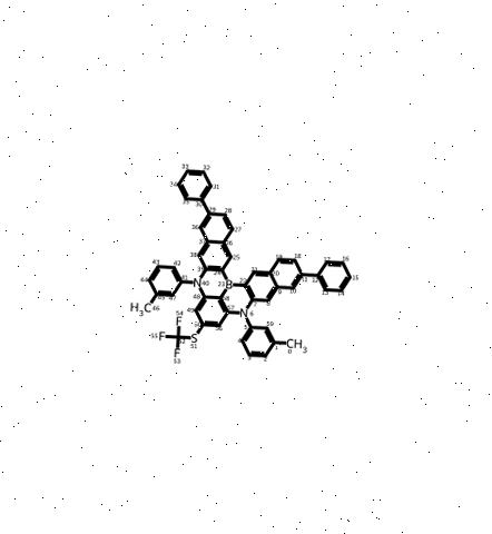 Cc1cccc(N2c3cc4cc(-c5ccccc5)ccc4cc3B3c4cc5ccc(-c6ccccc6)cc5cc4N(c4cccc(C)c4)c4cc(SC(F)(F)F)cc2c43)c1